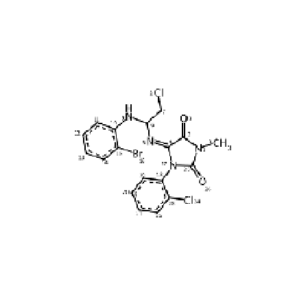 CN1C(=O)C(=NC(CCl)Nc2ccccc2Br)N(c2ccccc2Cl)C1=O